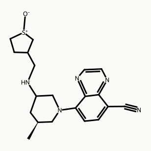 C[C@H]1CC(NCC2CC[S+]([O-])C2)CN(c2ccc(C#N)c3nccnc23)C1